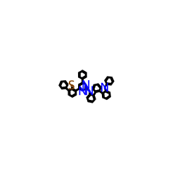 c1ccc(-c2cc(-c3cccc4c3sc3ccccc34)nc(-n3c4ccccc4c4c5c6ccccc6n(-c6ccccc6)c5ccc43)n2)cc1